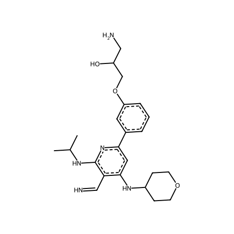 CC(C)Nc1nc(-c2cccc(OCC(O)CN)c2)cc(NC2CCOCC2)c1C=N